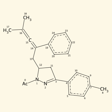 CC(=O)N1N=C(c2ccc(C)cc2)CC1CC(=C=C(C)C)c1ccccc1